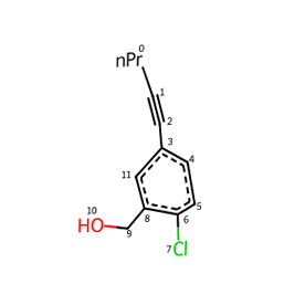 CCCC#Cc1ccc(Cl)c(CO)c1